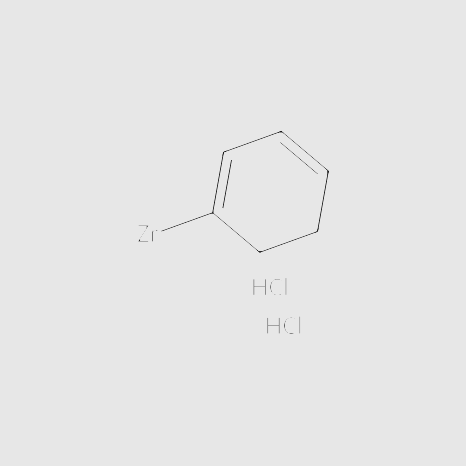 Cl.Cl.[Zr][C]1=CC=CCC1